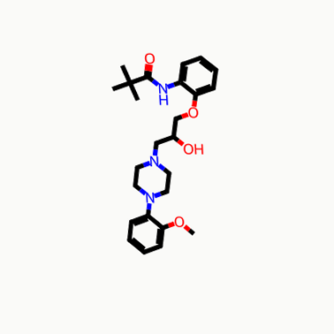 COc1ccccc1N1CCN(CC(O)COc2ccccc2NC(=O)C(C)(C)C)CC1